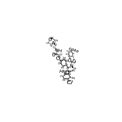 COc1ccc(OC(=O)N2CCc3c([nH]c4ccc(Cl)cc34)C2c2ccc(OCC(=O)NCCN3CCOCC3)cc2)cc1